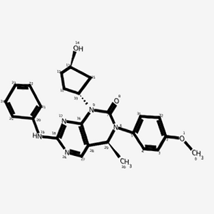 COc1ccc(N2C(=O)N([C@@H]3CC[C@@H](O)C3)c3nc(Nc4ccccc4)ncc3[C@@H]2C)cc1